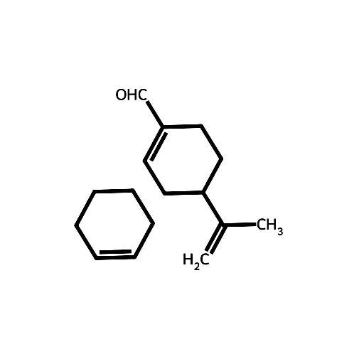 C1=CCCCC1.C=C(C)C1CC=C(C=O)CC1